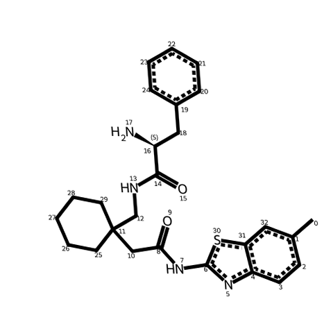 Cc1ccc2nc(NC(=O)CC3(CNC(=O)[C@@H](N)Cc4ccccc4)CCCCC3)sc2c1